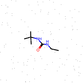 C[CH]NC(=O)NC(C)(C)C